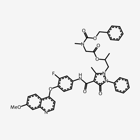 COc1ccc2c(Oc3ccc(NC(=O)c4c(C)n(CC(C)OC(=O)CN(C)C(=O)OCc5ccccc5)n(-c5ccccc5)c4=O)cc3F)ccnc2c1